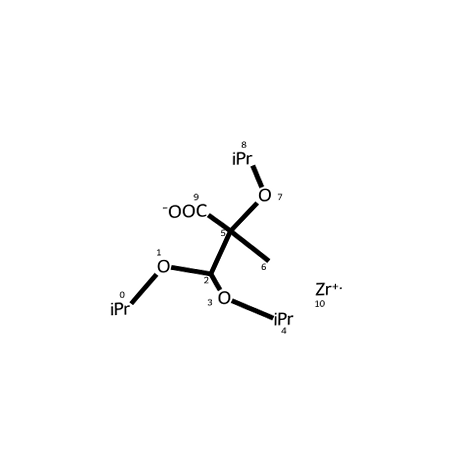 CC(C)OC(OC(C)C)C(C)(OC(C)C)C(=O)[O-].[Zr+]